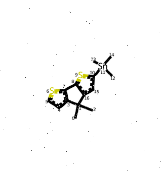 CC1(C)c2ccsc2-c2s[c]([Sn]([CH3])([CH3])[CH3])cc21